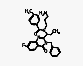 CCC(c1nc2cc(F)ccc2c(=O)n1Cc1ccccc1)N(CCCN)C(=O)c1ccc(C)cc1